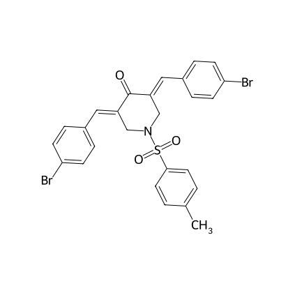 Cc1ccc(S(=O)(=O)N2CC(=Cc3ccc(Br)cc3)C(=O)C(=Cc3ccc(Br)cc3)C2)cc1